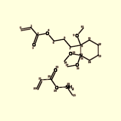 C=CC(=O)OCCCC1(OC)CCCC[Si]1(OC)OC.C=CC(=O)O[SiH2]C